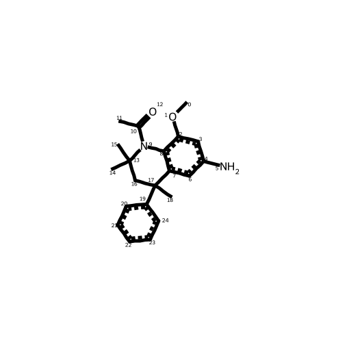 COc1cc(N)cc2c1N(C(C)=O)C(C)(C)CC2(C)c1ccccc1